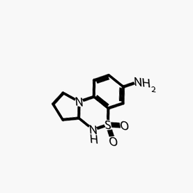 Nc1ccc2c(c1)S(=O)(=O)NC1CCCN21